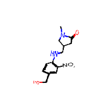 CN1CC(CNc2ccc(CO)cc2[N+](=O)[O-])CC1=O